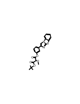 COC(C(=O)Oc1cccc(-c2cn3c(n2)sc2ccccc23)c1)C(=O)OC(C)(C)C